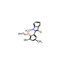 COCOc1c(-c2c(Br)c3ccccc3n2C)cc(C)cc1C(C)(C)C